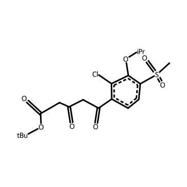 CC(C)Oc1c(S(C)(=O)=O)ccc(C(=O)CC(=O)CC(=O)OC(C)(C)C)c1Cl